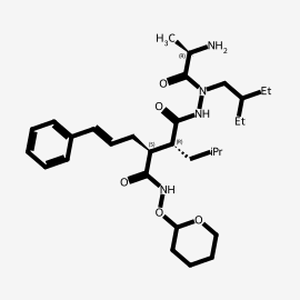 CCC(CC)CN(NC(=O)[C@H](CC(C)C)[C@H](CC=Cc1ccccc1)C(=O)NOC1CCCCO1)C(=O)[C@@H](C)N